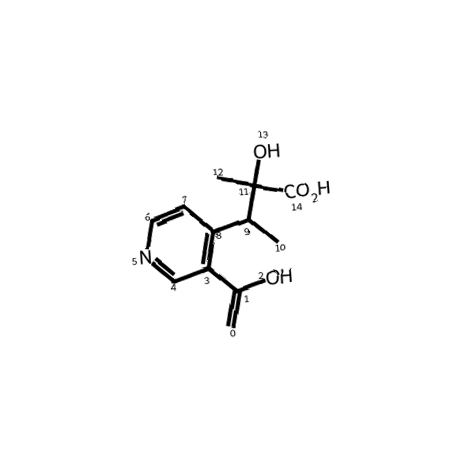 C=C(O)c1cnccc1C(C)C(C)(O)C(=O)O